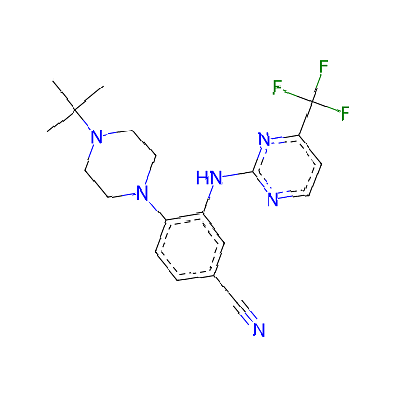 CC(C)(C)N1CCN(c2ccc(C#N)cc2Nc2nccc(C(F)(F)F)n2)CC1